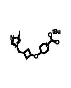 CC(C)(C)OC(=O)N1CCC(OC2CC(Cn3cnc(I)c3)C2)CC1